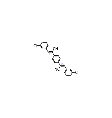 N#C/C(=C\c1cccc(Cl)c1)c1ccc(/C(C#N)=C/c2cccc(Cl)c2)cc1